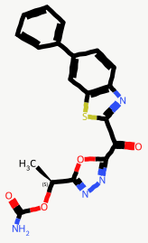 C[C@H](OC(N)=O)c1nnc(C(=O)c2nc3ccc(-c4ccccc4)cc3s2)o1